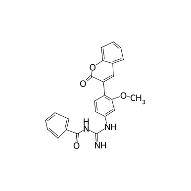 COc1cc(NC(=N)NC(=O)c2ccccc2)ccc1-c1cc2ccccc2oc1=O